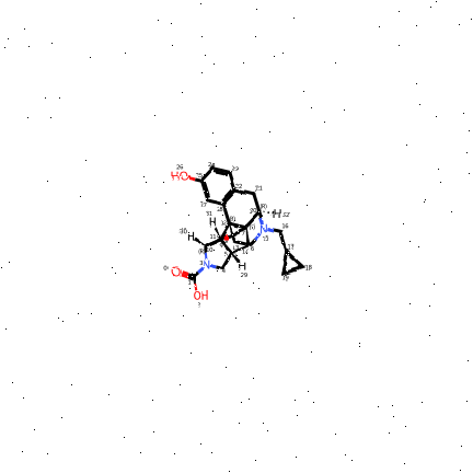 O=C(O)N1C[C@H]2C[C@@]34CC[C@@H]1[C@@H]2[C@@]31CCN(CC2CC2)[C@@H]4Cc2ccc(O)cc21